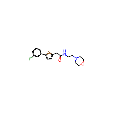 O=C(Cc1ccc(-c2cccc(F)c2)s1)NCCN1CCOCC1